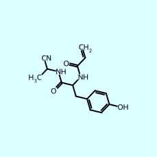 C=CC(=O)NC(Cc1ccc(O)cc1)C(=O)NC(C)C#N